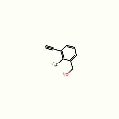 C#Cc1cccc([CH]O)c1C(F)(F)F